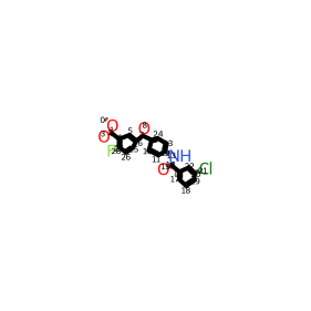 COC(=O)c1cc(C(=O)c2ccc(NC(=O)c3cccc(Cl)c3)cc2)ccc1F